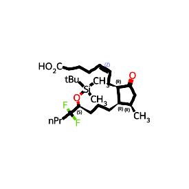 CCCC(F)(F)[C@H](CCC[C@@H]1[C@H](C)CC(=O)[C@@H]1C/C=C\CCCC(=O)O)O[Si](C)(C)C(C)(C)C